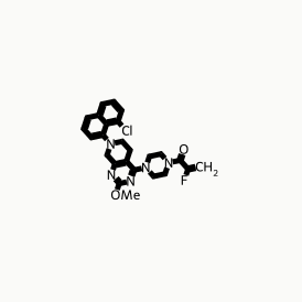 C=C(F)C(=O)N1CCN(c2nc(OC)nc3c2CCN(c2cccc4cccc(Cl)c24)C3)CC1